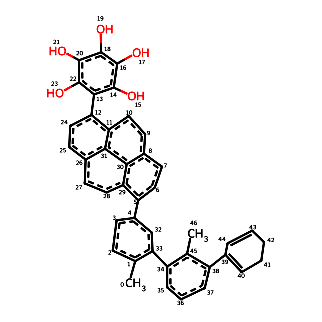 Cc1ccc(-c2ccc3ccc4c(-c5c(O)c(O)c(O)c(O)c5O)ccc5ccc2c3c54)cc1-c1cccc(C2=CCCC=C2)c1C